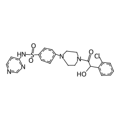 O=C(C(O)c1ccccc1Cl)N1CCN(c2ccc(S(=O)(=O)Nc3ccncn3)cc2)CC1